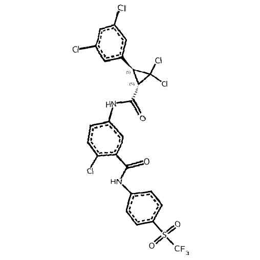 O=C(Nc1ccc(S(=O)(=O)C(F)(F)F)cc1)c1cc(NC(=O)[C@@H]2[C@@H](c3cc(Cl)cc(Cl)c3)C2(Cl)Cl)ccc1Cl